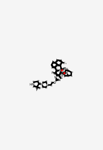 C#Cc1c(F)ccc2cccc(-c3nc(N4CC5CCC(C4)N5C(=O)OC(C)(C)C)c4cnc(OCCN5CCN(C6CCNCC6(F)F)CC5)nc4c3F)c12